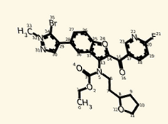 CCOC(=O)N(CCC1CCCO1)c1c(C(=O)c2ccc(F)nc2)oc2ccc(-c3cnn(C)c3Br)cc12